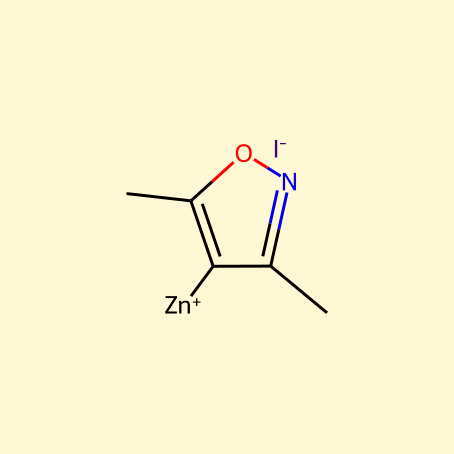 Cc1noc(C)[c]1[Zn+].[I-]